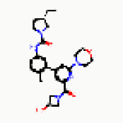 CC[C@@H]1CCN(C(=O)Nc2ccc(C)c(-c3cc(C(=O)N4CC(O)C4)nc(N4CCOCC4)c3)c2)C1